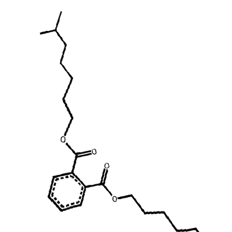 CCCCCCOC(=O)c1ccccc1C(=O)OCCCCCC(C)C